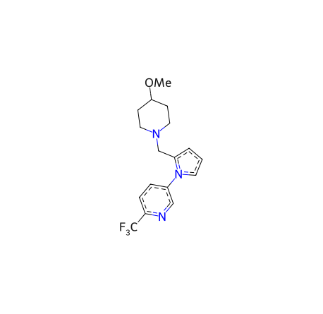 COC1CCN(Cc2cccn2-c2ccc(C(F)(F)F)nc2)CC1